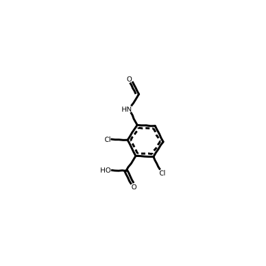 O=CNc1ccc(Cl)c(C(=O)O)c1Cl